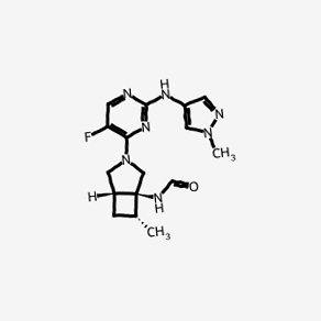 C[C@@H]1C[C@@H]2CN(c3nc(Nc4cnn(C)c4)ncc3F)C[C@@]21NC=O